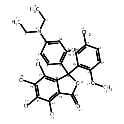 CCN(CC)c1ccc(C2(c3cc(C)ccc3OC)OC(=O)c3c(Cl)c(Cl)c(Cl)c(Cl)c32)c(O)c1